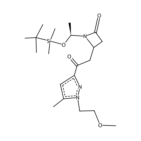 COCCn1nc(C(=O)CC2CC(=O)N2[C@H](C)O[Si](C)(C)C(C)(C)C)cc1C